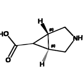 O=C(O)C1[C@@H]2CNC[C@@H]12